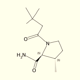 C[C@H]1CCN(C(=O)CC(C)(C)C)[C@@H]1C(N)=O